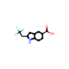 O=C(O)c1ccc2[nH]c(CC(F)(F)F)cc2c1